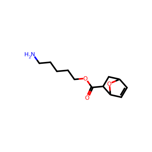 NCCCCCOC(=O)C1CC2C=CC1O2